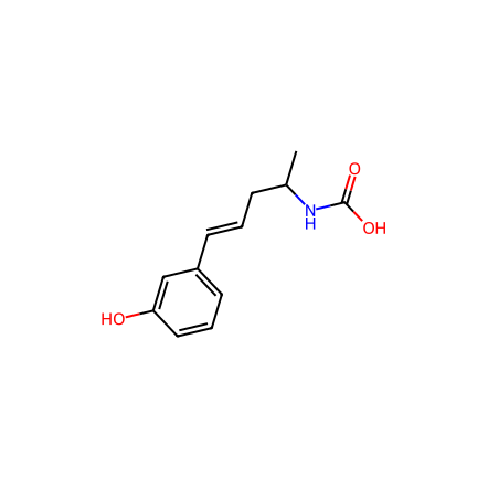 CC(CC=Cc1cccc(O)c1)NC(=O)O